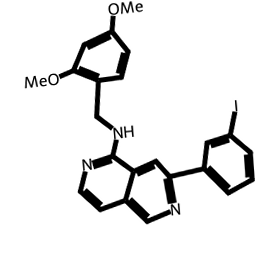 COc1ccc(CNc2nccc3cnc(-c4cccc(I)c4)cc23)c(OC)c1